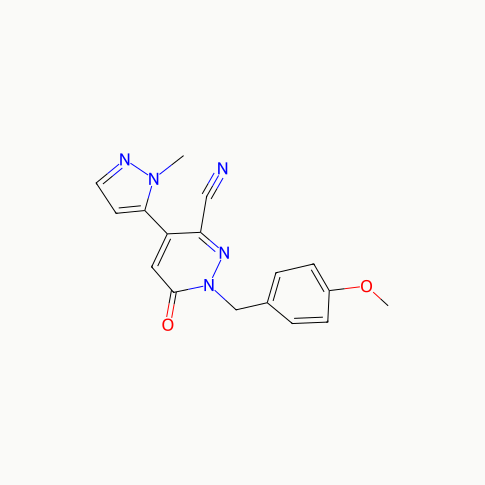 COc1ccc(Cn2nc(C#N)c(-c3ccnn3C)cc2=O)cc1